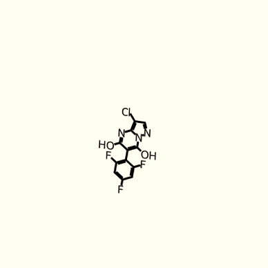 Oc1nc2c(Cl)cnn2c(O)c1-c1c(F)cc(F)cc1F